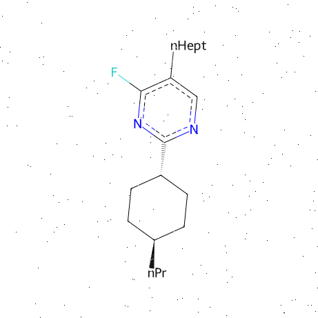 CCCCCCCc1cnc([C@H]2CC[C@H](CCC)CC2)nc1F